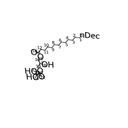 CCCCCCCCCCCCCCCCCCCCCCC(=O)OCC(O)COP(=O)(O)O